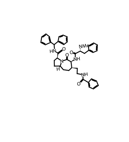 CN[C@H](Cc1ccccc1)C(=O)N[C@@H]1C(=O)N2[C@@H](CC[C@@H]1CCNC(=O)c1ccccc1)CC[C@H]2C(=O)NC(c1ccccc1)c1ccccc1